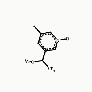 COC(c1cc(C)c[n+]([O-])c1)C(F)(F)F